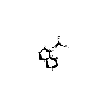 F[C](F)=[Cf][c]1cccc2ccccc12